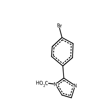 O=C(O)n1ccnc1-c1ccc(Br)cc1